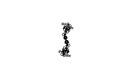 COC(=O)NN(C(=O)[C@@H]1OC(C)(C)O[C@H]1C(=O)OCC(=O)c1ccc(-c2ccc(C(=O)COC(=O)[C@@H]3OC(C)(C)O[C@H]3C(=O)N(NC(=O)OC)C(C)C)cc2)cc1)C(C)C